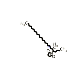 CCCCCCCCCCCCCCCC/C=C/CC(C)C(CCCC)N1C(=O)CCC1=O